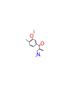 C=C(CN(C)C)C(=O)c1ccc(C)c(OCC)c1